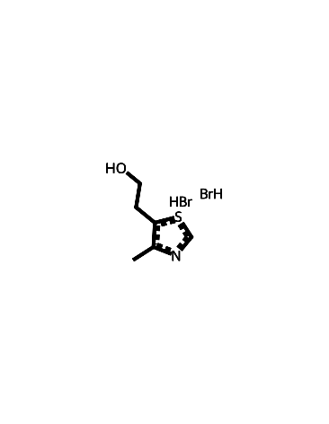 Br.Br.Cc1ncsc1CCO